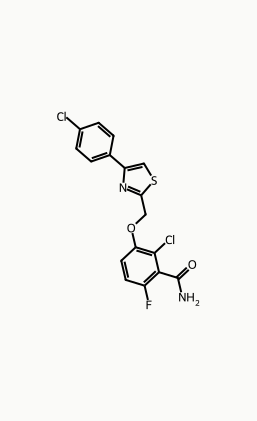 NC(=O)c1c(F)ccc(OCc2nc(-c3ccc(Cl)cc3)cs2)c1Cl